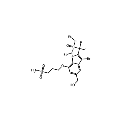 CCOP(=O)(OCC)C(F)(F)c1sc2c(OCCCS(N)(=O)=O)cc(CO)cc2c1Br